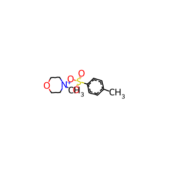 Cc1ccc(S(=O)(=O)O[N+]2(C)CCOCC2)cc1